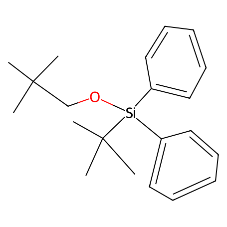 CC(C)(C)CO[Si](c1ccccc1)(c1ccccc1)C(C)(C)C